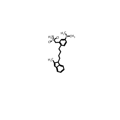 CC1=Cc2ccccc2C1CCCCc1ccc(N(C)C)cc1[CH2][Ti]([NH2])([Cl])[Cl]